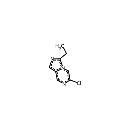 CCc1ncc2cnc(Cl)cn12